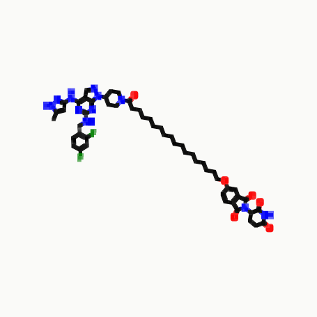 Cc1cc(Nc2nc(NCc3ccc(F)cc3F)nc3c2cnn3C2CCN(C(=O)CCCCCCCCCCCCCCCCCOc3ccc4c(c3)C(=O)N(C3CCC(=O)NC3=O)C4=O)CC2)n[nH]1